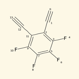 C#Cc1c(F)c(F)c(F)c(F)c1C#C